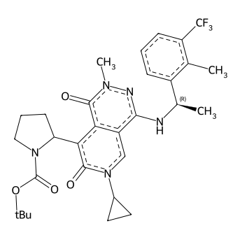 Cc1c([C@@H](C)Nc2nn(C)c(=O)c3c(C4CCCN4C(=O)OC(C)(C)C)c(=O)n(C4CC4)cc23)cccc1C(F)(F)F